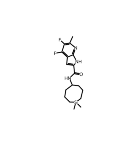 Cc1nc2[nH]c(C(=O)NC3CCC[Si](C)(C)CCC3)cc2c(F)c1F